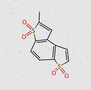 CC1=Cc2c(ccc3c2C=CS3(=O)=O)S1(=O)=O